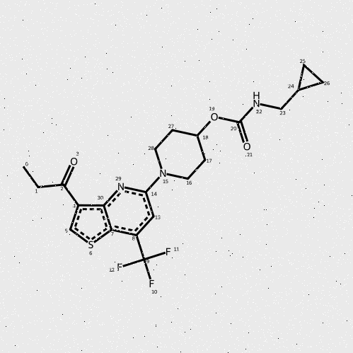 CCC(=O)c1csc2c(C(F)(F)F)cc(N3CCC(OC(=O)NCC4CC4)CC3)nc12